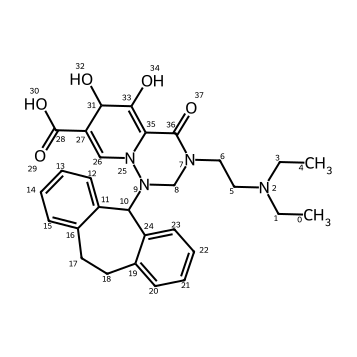 CCN(CC)CCN1CN(C2c3ccccc3CCc3ccccc32)N2C=C(C(=O)O)C(O)C(O)=C2C1=O